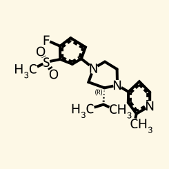 Cc1cc(N2CCN(c3ccc(F)c(S(C)(=O)=O)c3)C[C@H]2C(C)C)ccn1